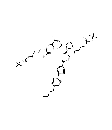 CCCCc1ccc(-c2ccc(C(=O)N[C@@H](CCCCNC(=O)OC(C)(C)C)C(=O)N3CCC[C@H]3C(=O)N[C@@H](C)C(=O)N[C@@H](CCCCNC(=O)OC(C)(C)C)C(=O)O)cc2)cc1